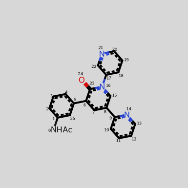 CC(=O)Nc1cccc(-c2cc(-c3ccccn3)cn(-c3cccnc3)c2=O)c1